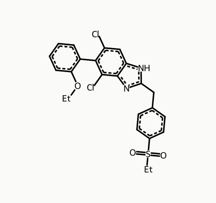 CCOc1ccccc1-c1c(Cl)cc2[nH]c(Cc3ccc(S(=O)(=O)CC)cc3)nc2c1Cl